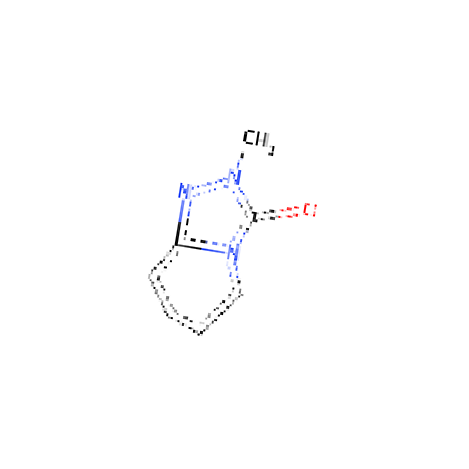 Cn1nc2ccccn2c1=O